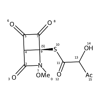 CON1C(=O)C2C(=O)C(=O)[C@@]21SC(=O)C(O)C(C)=O